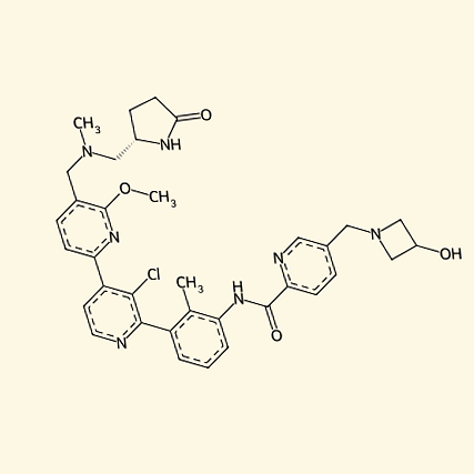 COc1nc(-c2ccnc(-c3cccc(NC(=O)c4ccc(CN5CC(O)C5)cn4)c3C)c2Cl)ccc1CN(C)C[C@@H]1CCC(=O)N1